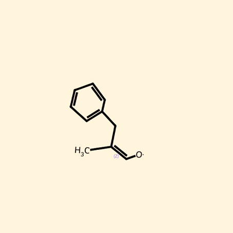 C/C(=C/[O])Cc1ccccc1